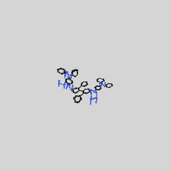 c1ccc(-c2cc(Nc3ccc(N(c4ccccc4)c4ccccc4)cc3)ccc2-c2ccc(Nc3ccc(N(c4ccccc4)c4ccccc4)cc3)cc2-c2ccccc2)cc1